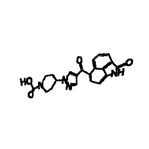 O=C(c1cnn(C2CCN(C(=O)O)CC2)c1)c1ccc2c3c(cccc13)C(=O)N2